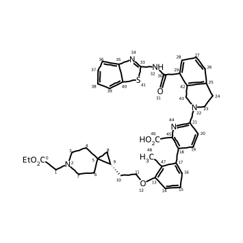 CCOC(=O)CN1CCC2(CC1)C[C@@H]2CCOc1cccc(-c2ccc(N3CCc4cccc(C(=O)Nc5nc6ccccc6s5)c4C3)nc2C(=O)O)c1C